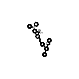 CCC1(CC)C2=C(CCC(/C=C/c3ccc(-c4cc(-c5ccccc5)ccc4-c4cc5ccccc5s4)cc3)=C2)c2ccc(N(c3ccccc3)C3C=CC=CC3)cc21